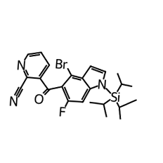 CC(C)[Si](C(C)C)(C(C)C)n1ccc2c(Br)c(C(=O)c3cccnc3C#N)c(F)cc21